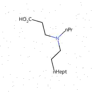 CCCCCCCCCN(CCC)CCC(=O)O